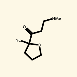 CNCCC(=O)C1(C#N)CCCO1